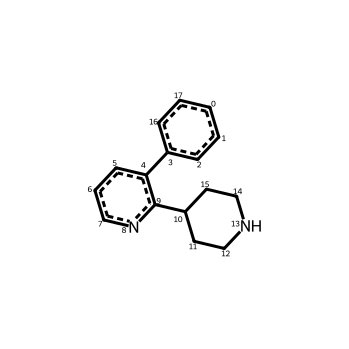 c1ccc(-c2cccnc2C2CCNCC2)cc1